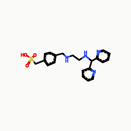 O=S(=O)(O)Cc1ccc(CNCCNC(c2ccccn2)c2ccccn2)cc1